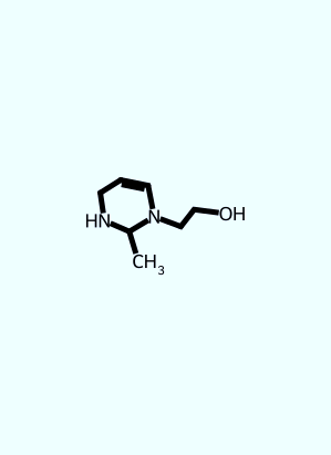 CC1NCC=CN1CCO